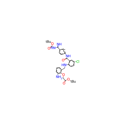 CC(C)(C)OC(=O)COc1c(N)cccc1CNc1ccc(Cl)cc1C(=O)Nc1ccc(C(=N)NC(=O)OC(C)(C)C)cc1